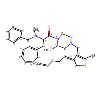 C=CCC/C=C1\CSC(CC)=C1CN1CCN(C(=O)C(CC2=CC=CC=CC2)N(C)Cc2ccccc2)C(C=O)C1